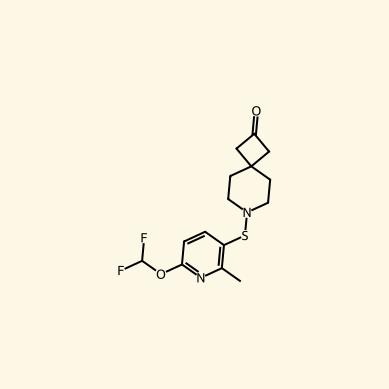 Cc1nc(OC(F)F)ccc1SN1CCC2(CC1)CC(=O)C2